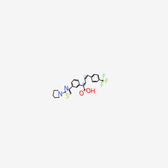 O=C(O)/C(=C/C=C\c1ccc(C(F)(F)F)cc1)c1cccc(-c2csc(N3CCCCC3)n2)c1